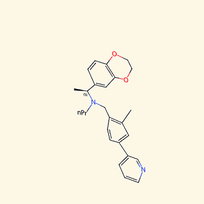 CCCN(Cc1ccc(-c2cccnc2)cc1C)[C@@H](C)c1ccc2c(c1)OCCO2